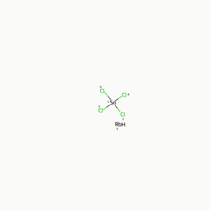 [Cl][Sn]([Cl])([Cl])[Cl].[RbH]